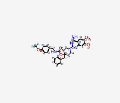 COc1cc2nc(N3CCC(Cc4ccccc4)(OC(=O)NCc4ccc(OC(F)F)cc4)CC3)nc(N)c2cc1OC